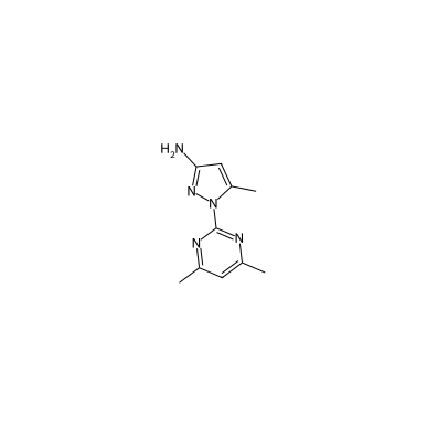 Cc1cc(C)nc(-n2nc(N)cc2C)n1